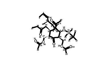 C/C=C\[C@H](C)[C@H]1OC1(C)[C@@H](O[Si](C)(C)C(C)(C)C)[C@@H](COC(C)=O)C(=O)[C@H](COC(C)=O)[C@@H](CC(=O)CC)OC(C)=O